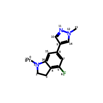 CC(C)N1CCc2c(F)cc(-c3cnn(C)c3)cc21